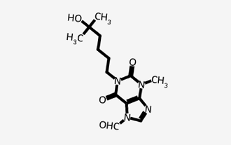 Cn1c(=O)n(CCCCC(C)(C)O)c(=O)c2c1ncn2C=O